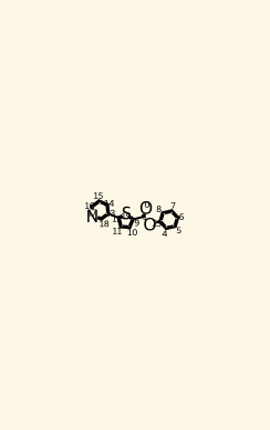 O=C(Oc1ccccc1)c1ccc(-c2cccnc2)s1